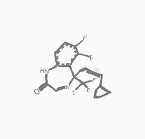 O=C1C=NC(/C=C\C2CC2)(C(F)(F)F)c2c(ccc(F)c2F)N1